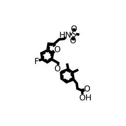 Cc1c(CCC(=O)O)ccc(OCc2cc(F)cc3cc(CCNS(C)(=O)=O)oc23)c1C